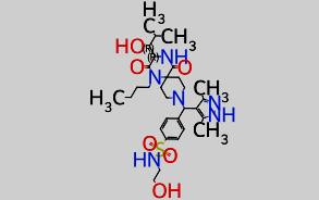 CCCCN1C(=O)[C@@H]([C@H](O)C(C)C)NC(=O)C12CCN(C(c1ccc(S(=O)(=O)NCCO)cc1)c1c(C)n[nH]c1C)CC2